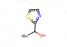 CC(C)(C)C(O)c1nccs1